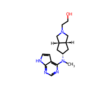 CN(c1ncnc2[nH]ccc12)[C@@H]1C[C@@H]2CN(CCO)C[C@@H]2C1